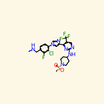 CNCc1ccc(-n2cnc(-c3nc(NC4CCN(S(C)(=O)=O)CC4)ncc3C(F)(F)F)c2)c(Cl)c1F